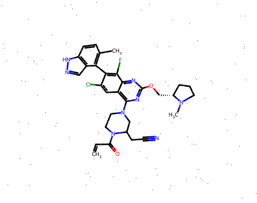 C=CC(=O)N1CCN(c2nc(OC[C@@H]3CCCN3C)nc3c(F)c(-c4c(C)ccc5[nH]ncc45)c(Cl)cc23)CC1CC#N